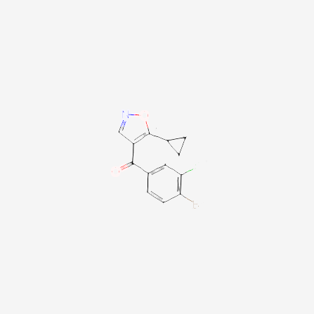 O=C(c1ccc(Br)c(Cl)c1)c1cnoc1C1CC1